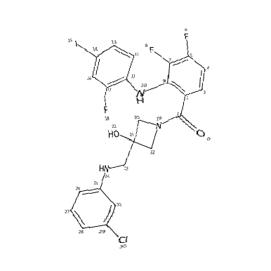 O=C(c1ccc(F)c(F)c1Nc1ccc(I)cc1F)N1CC(O)(CNc2cccc(Cl)c2)C1